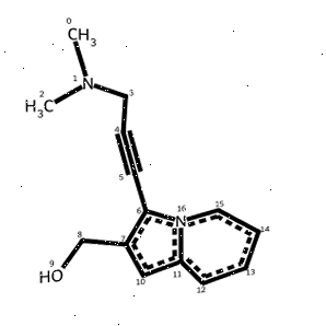 CN(C)CC#Cc1c(CO)cc2ccccn12